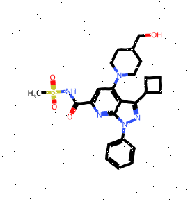 CS(=O)(=O)NC(=O)c1cc(N2CCC(CO)CC2)c2c(C3CCC3)nn(-c3ccccc3)c2n1